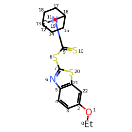 CCOc1ccc2nc(SC(=S)N3CC4CCC(CC4)C3)sc2c1